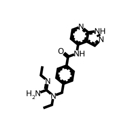 CCN=C(N)N(CC)Cc1ccc(C(=O)Nc2ccnc3[nH]ncc23)cc1